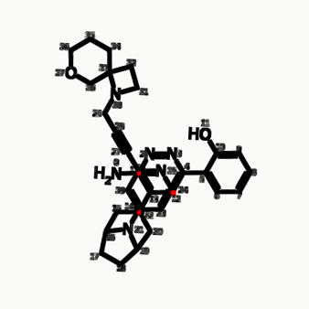 Nc1nnc(-c2ccccc2O)cc1N1CC2CCC(C1)N2c1ccnc(C#CCN2CCC23CCCOC3)c1